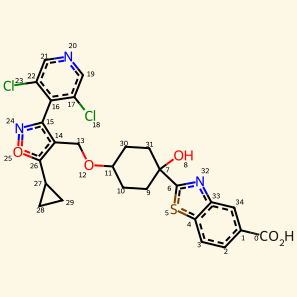 O=C(O)c1ccc2sc(C3(O)CCC(OCc4c(-c5c(Cl)cncc5Cl)noc4C4CC4)CC3)nc2c1